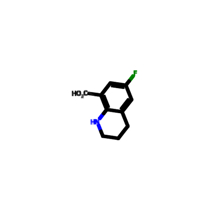 O=C(O)c1cc(F)cc2c1NCCC2